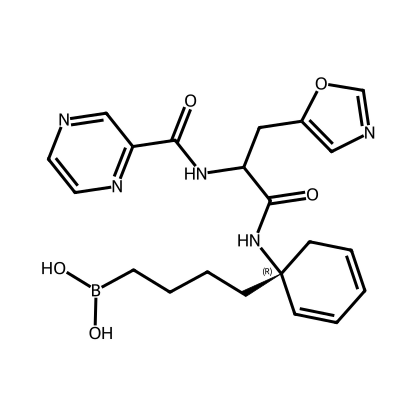 O=C(NC(Cc1cnco1)C(=O)N[C@@]1(CCCCB(O)O)C=CC=CC1)c1cnccn1